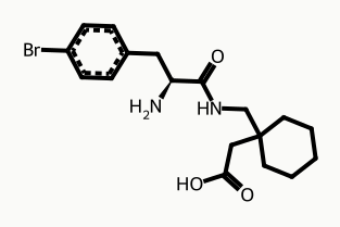 N[C@@H](Cc1ccc(Br)cc1)C(=O)NCC1(CC(=O)O)CCCCC1